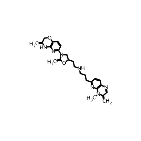 C=C1COc2ccc(N3CC(CCNCCCc4ccc5c(n4)N(C)C(=C)C=N5)OC3=C)nc2N1